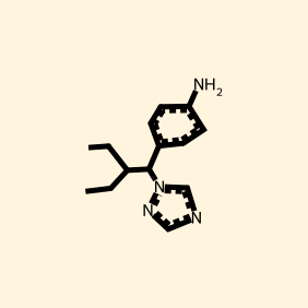 CCC(CC)C(c1ccc(N)cc1)n1cncn1